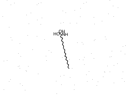 CCCCCCCCCCCCCCCCCCC(NC)C(O)O